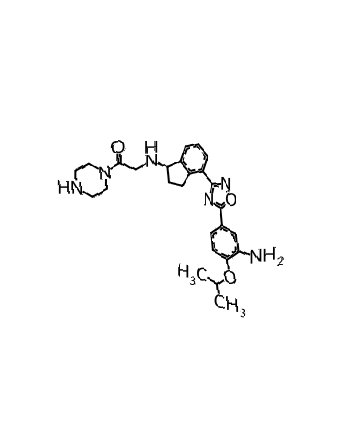 CC(C)Oc1ccc(-c2nc(-c3cccc4c3CC[C@H]4NCC(=O)N3CCNCC3)no2)cc1N